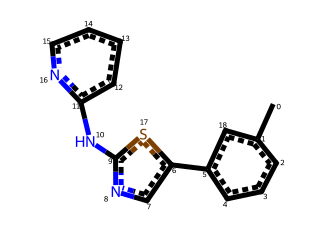 Cc1cccc(-c2cnc(Nc3ccccn3)s2)c1